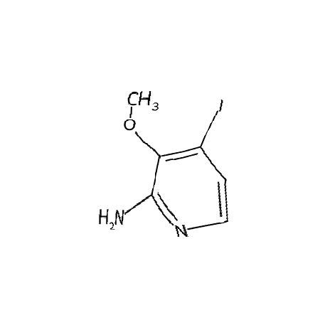 COc1c(I)ccnc1N